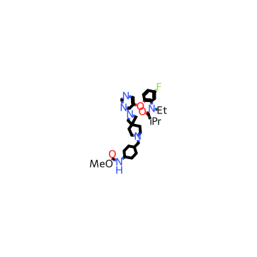 CCN(C(=O)C(C)C)c1cc(F)ccc1Oc1cncnc1N1CC2(CCN(CC3CCC(NC(=O)OC)CC3)CC2)C1